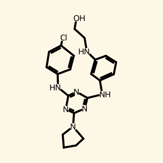 OCCNc1cccc(Nc2nc(Nc3ccc(Cl)cc3)nc(N3CCCC3)n2)c1